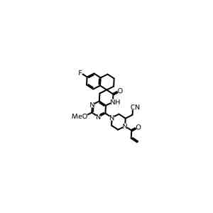 C=CC(=O)N1CCN(c2nc(OC)nc3c2NC(=O)C2(CCCc4cc(F)ccc42)C3)CC1CC#N